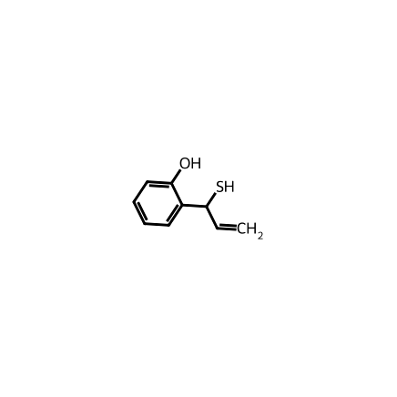 C=CC(S)c1ccccc1O